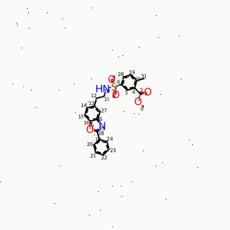 COC(=O)c1cc(S(=O)(=O)NCCc2ccc3oc(-c4ccccc4)nc3c2)ccc1C